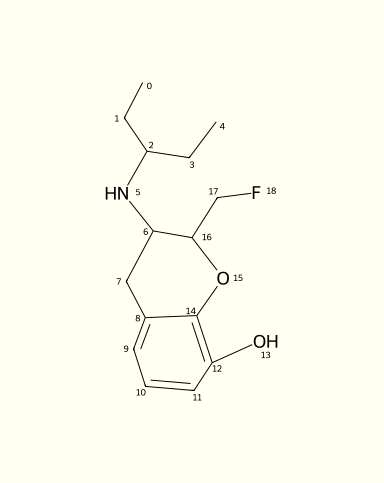 CCC(CC)NC1Cc2cccc(O)c2OC1CF